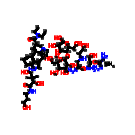 CC(C)(CO)C(O)C(=O)NCCCO.CCN(CC)C(=O)[C@@H]1C=C2c3cccc4[nH]cc(c34)C[C@H]2N(C)C1.NC(=O)CNCCO.NC(N)=O.NCCO.OCC1OC(OC2C(CO)OC(O)C(O)C2O)C(O)C(O)C1O.[SiH4]